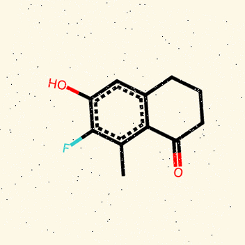 Cc1c(F)c(O)cc2c1C(=O)CCC2